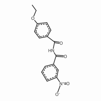 CCOc1ccc(C(=O)NC(=O)c2cccc([N+](=O)[O-])c2)cc1